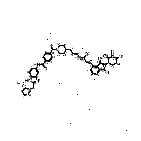 C[C@H]1CCCN1Cc1nc2cc(NC(=O)c3ccc(C(=O)N4CCC(CCCNC(=O)COc5cccc6c5C(=O)N(C5CCC(=O)NC5=O)C6=O)CC4)cc3)ccc2[nH]1